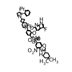 CCCOc1nc2[nH]cc(F)c2cc1Oc1cc(N2CCC3(CC2)CC(N2CCC[C@H]2c2ccccc2C(C)C)C3)ccc1C(=O)NS(=O)(=O)c1cc2c(c([N+](=O)[O-])c1)N[C@@H](C1CCC(C)(C)CC1)CO2